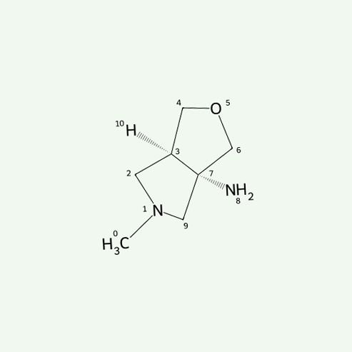 CN1C[C@H]2COC[C@@]2(N)C1